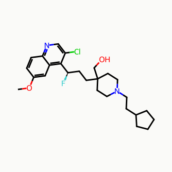 COc1ccc2ncc(Cl)c([C@H](F)CCC3(CO)CCN(CCC4CCCC4)CC3)c2c1